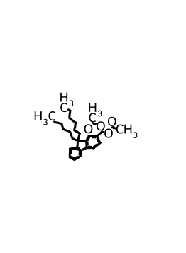 CCCCCCC1(CCCCCC)c2ccccc2-c2ccc(C(OC(C)=O)OC(C)=O)cc21